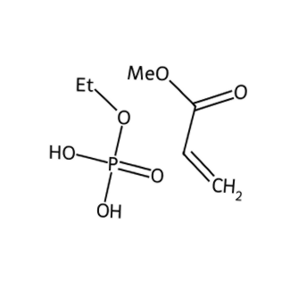 C=CC(=O)OC.CCOP(=O)(O)O